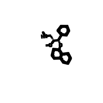 CNC[C@@H](OC)[C@@H](Oc1cccc2ccccc12)c1ccccc1